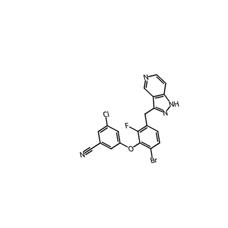 N#Cc1cc(Cl)cc(Oc2c(Br)ccc(Cc3n[nH]c4ccncc34)c2F)c1